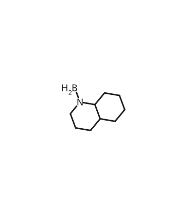 BN1CCCC2CCCCC21